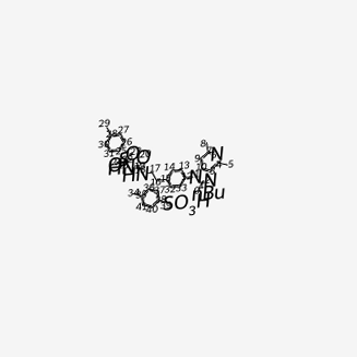 CCCCc1nc2c(C)nc(C)cc2n1-c1ccc(CCNC(=O)NS(=O)(=O)c2ccc(C)cc2)cc1.Cc1ccc(S(=O)(=O)O)cc1